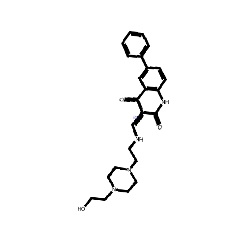 O=C1Nc2ccc(-c3ccccc3)cc2C(=O)/C1=C/NCCN1CCN(CCO)CC1